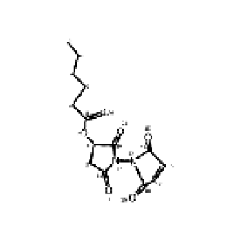 CCCCCC(=O)OC1CC(=O)N(N2C(=O)C=CC2=O)C1=O